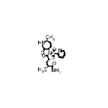 C[C@@H]1CC[C@H](N(C(=O)[CH]C[C@H](C)C(N)=O)S(=O)(=O)c2ccccn2)C(=O)CN1